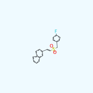 O=S(=O)(C=Cc1ccc2ccccc2c1)Cc1ccc(F)cc1